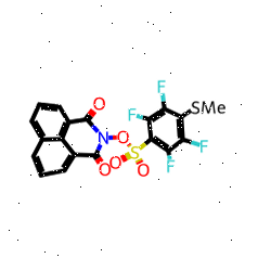 CSc1c(F)c(F)c(S(=O)(=O)ON2C(=O)c3cccc4cccc(c34)C2=O)c(F)c1F